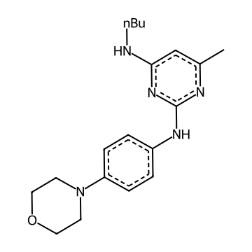 CCCCNc1cc(C)nc(Nc2ccc(N3CCOCC3)cc2)n1